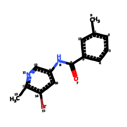 Cc1cccc(C(=O)Nc2cnc(C)c(Br)c2)c1